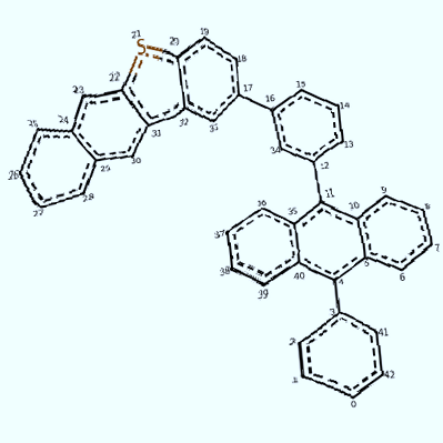 c1ccc(-c2c3ccccc3c(-c3cccc(-c4ccc5sc6cc7ccccc7cc6c5c4)c3)c3ccccc23)cc1